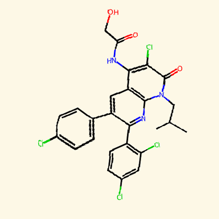 CC(C)Cn1c(=O)c(Cl)c(NC(=O)CO)c2cc(-c3ccc(Cl)cc3)c(-c3ccc(Cl)cc3Cl)nc21